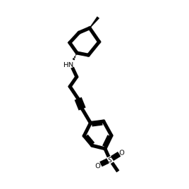 CS(=O)(=O)c1ccc(C#CCCN[C@H]2CC[C@H](C)CC2)cc1